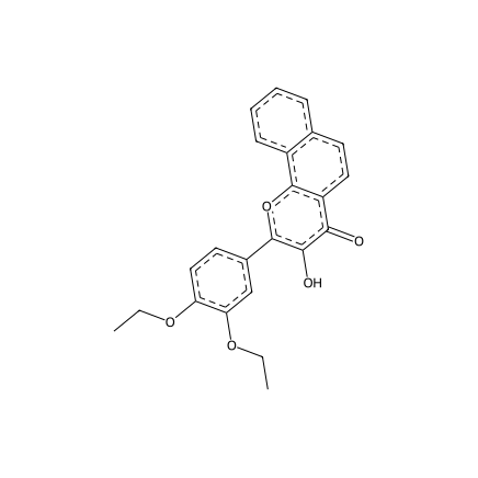 CCOc1ccc(-c2oc3c(ccc4ccccc43)c(=O)c2O)cc1OCC